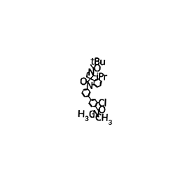 CC(C)C1N(C(=O)CC(C)(C)C)CCC12C(=O)N(c1cccc(-c3ccc(C(=O)N(C)C)c(Cl)c3)c1)c1ccccc12